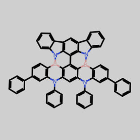 c1ccc(-c2ccc3c(c2)N(c2ccccc2)c2cc4c5c6c2B3n2c3ccccc3c3cc7c8ccccc8n(c7c-6c32)B5c2ccc(-c3ccccc3)cc2N4c2ccccc2)cc1